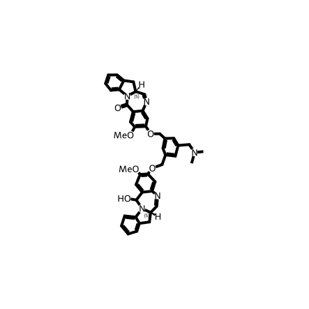 COc1cc2c(cc1OCc1cc(COc3cc4c(cc3OC)C(O)N3c5ccccc5C[C@H]3C=N4)cc(CN(C)C)c1)N=C[C@@H]1Cc3ccccc3N1C2=O